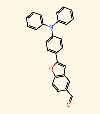 O=Cc1ccc2oc(-c3ccc(N(c4ccccc4)c4ccccc4)cc3)cc2c1